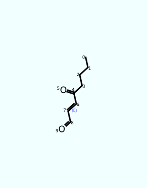 CCCCC(=O)/C=C/C=O